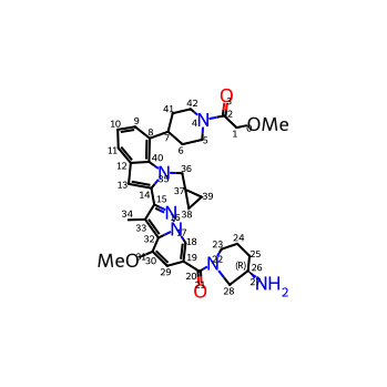 COCC(=O)N1CCC(c2cccc3cc(-c4nn5cc(C(=O)N6CCC[C@@H](N)C6)cc(OC)c5c4C)n(CC4CC4)c23)CC1